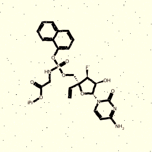 C=C[C@]1(COP(=O)(NCC(=O)OC(C)C)Oc2cccc3ccccc23)O[C@@H](n2ccc(N)nc2=O)[C@H](O)[C@@H]1F